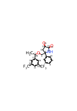 C[C@@H](OC[C@@]1(c2ccccc2)CC(=O)C(=O)N1)c1cc(C(F)(F)F)cc(C(F)(F)F)c1